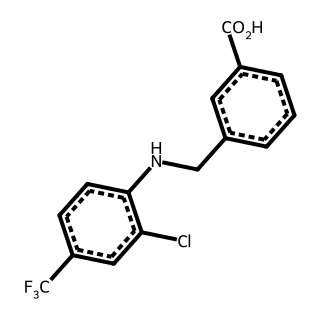 O=C(O)c1cccc(CNc2ccc(C(F)(F)F)cc2Cl)c1